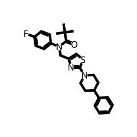 CC(C)(C)C(=O)N(Cc1csc(N2CCC(c3ccccc3)CC2)n1)c1ccc(F)cc1